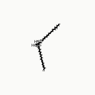 CCCCCCCCCCCCCCCCCCOCC(S)[C@@](C)(CO)OCCCCCCCCCCCCCCCCCC